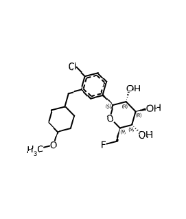 COC1CCC(Cc2cc([C@@H]3O[C@H](CF)[C@@H](O)[C@H](O)[C@H]3O)ccc2Cl)CC1